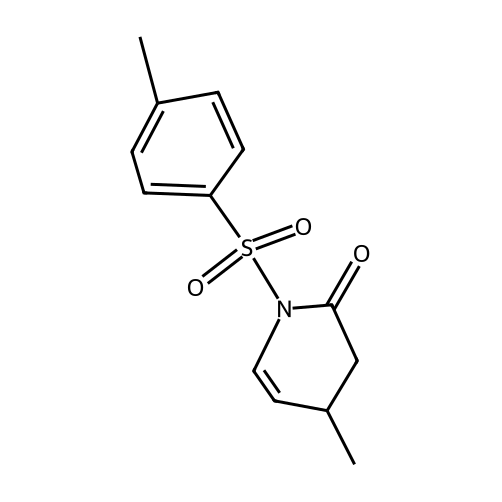 Cc1ccc(S(=O)(=O)N2C=CC(C)CC2=O)cc1